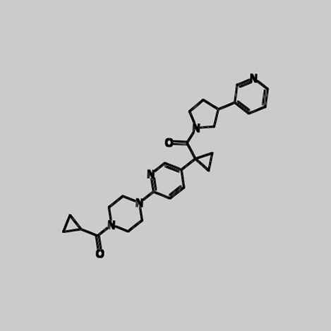 O=C(C1CC1)N1CCN(c2ccc(C3(C(=O)N4CCC(c5cccnc5)C4)CC3)cn2)CC1